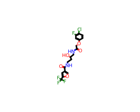 O=C(COc1ccc(Cl)c(F)c1)NCC(O)CCNC(=O)c1coc(C(F)(F)F)c1